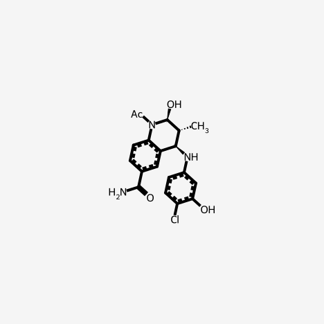 CC(=O)N1c2ccc(C(N)=O)cc2[C@H](Nc2ccc(Cl)c(O)c2)[C@@H](C)[C@@H]1O